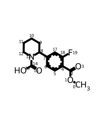 COC(=O)c1ccc(C2CCCCN2C(=O)O)cc1F